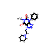 CCCn1c(=O)c2c(nnn2CCN2CCCCC2)n(-c2ccccc2)c1=O